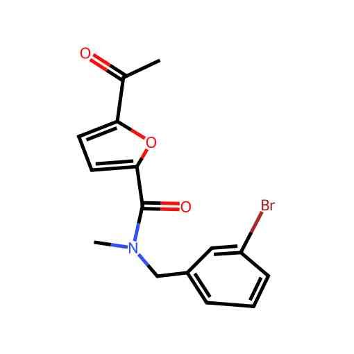 CC(=O)c1ccc(C(=O)N(C)Cc2cccc(Br)c2)o1